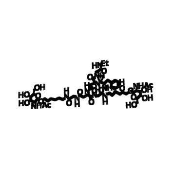 CCNC(=O)CNC(=O)C(CC(=O)NC(CC(=O)NCC(=O)NCCCCCCO[C@@H]1O[C@H](CO)[C@H](O)[C@H](O)[C@H]1NC(C)=O)C(=O)NCC(=O)NCCCCCCO[C@@H]1O[C@H](CO)[C@H](O)[C@H](O)[C@H]1NC(C)=O)NC(=O)C(N)Cc1ccc(O)cc1